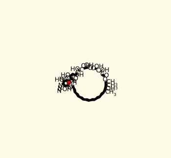 C[C@@H]1[C@H](O)[C@@H](C)/C=C/C=C/C=C/C=C/C=C/C=C/C=C/[C@H](O[C@@H]2O[C@H](C)[C@@H](O)[C@H](N=[N+]=[N-])[C@H]2O)C[C@@H]2O[C@](O)(C[C@@H](O)C[C@@H](O)[C@H](O)CC[C@@H](O)C[C@@H](O)CC(=O)O[C@H]1C)C[C@H](O)[C@H]2C(=O)O